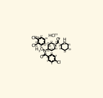 CN(C(=O)c1ccc(Cl)cc1)[C@@H]1CCN(C(=O)[C@H]2CCCCN2)C[C@H]1c1ccc(Cl)c(Cl)c1.Cl